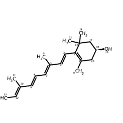 CC1=C(/C=C/C(C)=C/C=C/C(C)=C/C=O)C(C)(C)C[C@@H](O)C1